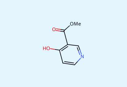 COC(=O)c1cnccc1O